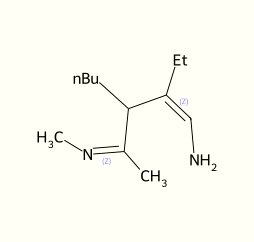 CCCCC(/C(=C\N)CC)/C(C)=N\C